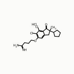 CC1(C2CCCC2)Cc2cc(OCCCC(=N)N)c(Cl)c(Cl)c2C1=O.Cl